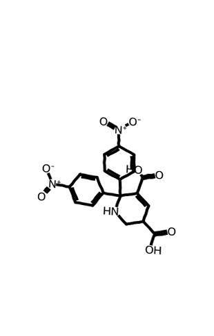 O=C(O)C1=CC(C(=O)O)CNC1(c1ccc([N+](=O)[O-])cc1)c1ccc([N+](=O)[O-])cc1